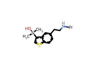 CC(C)NCCc1ccc2scc([Si](C)(C)O)c2c1